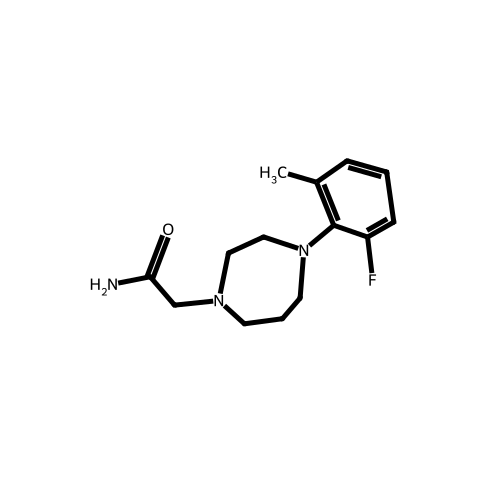 Cc1cccc(F)c1N1CCCN(CC(N)=O)CC1